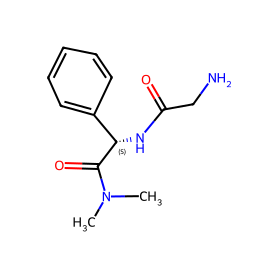 CN(C)C(=O)[C@@H](NC(=O)CN)c1ccccc1